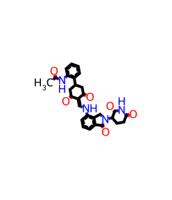 CC(=O)Nc1ccccc1C1CC(=O)C(=CNc2cccc3c2CN(C2CCC(=O)NC2=O)C3=O)C(=O)C1